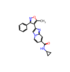 Cc1onc(-c2ccccc2)c1-c1cn2ccc(C(=O)NC3CC3)cc2n1